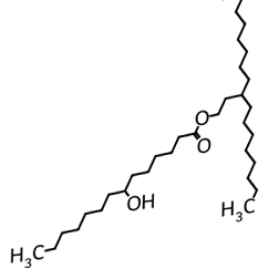 CCCCCCCCC(CCCCCCCC)CCOC(=O)CCCCCC(O)CCCCCCC